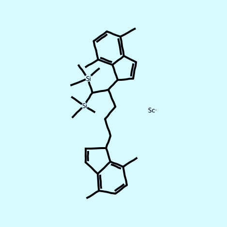 Cc1ccc(C)c2c1C=CC2CCCC(C1C=Cc2c(C)ccc(C)c21)C([Si](C)(C)C)[Si](C)(C)C.[Sc]